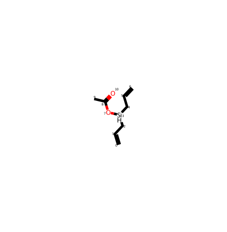 C=CC[SiH](CC=C)OC(C)=O